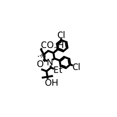 CCC(C(C)C(C)(C)O)N1C(=O)[C@@](C)(CC(=O)O)CC(c2cccc(Cl)c2)C1c1ccc(Cl)cc1